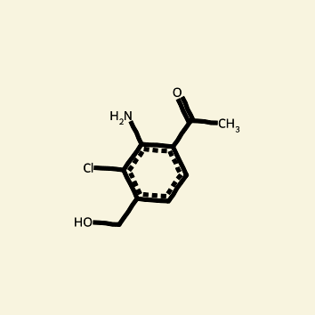 CC(=O)c1ccc(CO)c(Cl)c1N